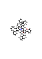 c1ccc2c(c1)-c1ccccc1C21c2ccccc2-c2cc(-c3cccc4c3oc3ccccc34)c(N(c3ccc(-c4cccc5ccccc45)cc3)c3ccc4c5ccccc5c5ccccc5c4c3)cc21